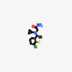 CCC(c1cccc(Cl)c1F)N(CC(N)=O)C1CC1